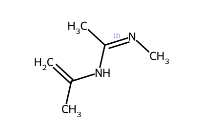 C=C(C)N/C(C)=N\C